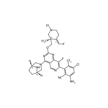 CCN1CC/C(=C\F)[C@](C)(COc2nc(N3C[C@H]4CC[C@@H](C3)N4)c3cnc(-c4c(C#N)c(N)cc(Cl)c4C(F)(F)F)c(F)c3n2)C1